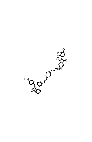 CC/C(=C(\c1ccc(O)cc1)c1ccc(CCCN2CCCN(CCCNc3ccc4c(c3)C(=O)N(C3CCC(=O)NC3=O)C4=O)CC2)cc1)c1ccccc1